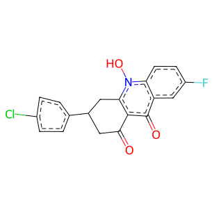 O=C1CC(c2ccc(Cl)cc2)Cc2c1c(=O)c1cc(F)ccc1n2O